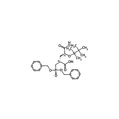 CC(C)(C)[Si](C)(C)O[C@@H](C[C@@H](CP(=O)(OCc1ccccc1)OCc1ccccc1)C(=O)O)C(=O)O